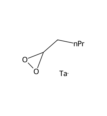 CCCCC1OO1.[Ta]